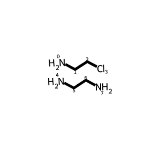 NCCCl.NCCN